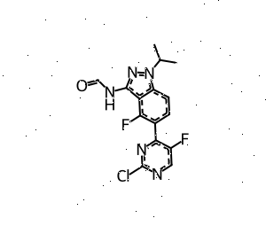 CC(C)n1nc(NC=O)c2c(F)c(-c3nc(Cl)ncc3F)ccc21